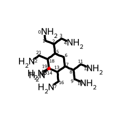 NCC(CN)C(CC(C(CN)CN)C(CN)CN)C(CN)CN